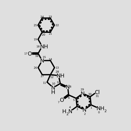 Nc1nc(N)c(C(=O)/N=C2\NCC3(CCN(C(=O)NCc4ccccc4)CC3)N2)nc1Cl